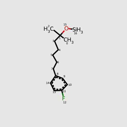 CC(C)(CCCCCc1ccc(F)cc1)O[SiH3]